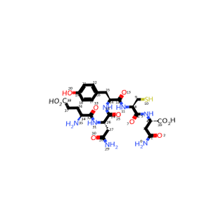 NC(=O)C[C@H](NC(=O)[C@H](CS)NC(=O)[C@H](Cc1ccc(O)cc1)NC(=O)[C@H](CC(N)=O)NC(=O)[C@@H](N)CCC(=O)O)C(=O)O